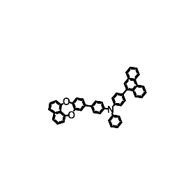 c1ccc(N(c2ccc(-c3ccc4c(c3)Oc3cccc5cccc(c35)O4)cc2)c2ccc(-c3cc4ccccc4c4ccccc34)cc2)cc1